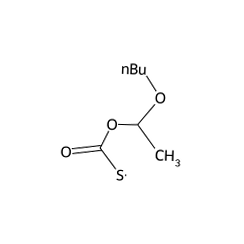 CCCCOC(C)OC(=O)[S]